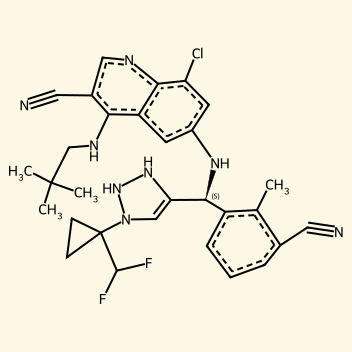 Cc1c(C#N)cccc1[C@H](Nc1cc(Cl)c2ncc(C#N)c(NCC(C)(C)C)c2c1)C1=CN(C2(C(F)F)CC2)NN1